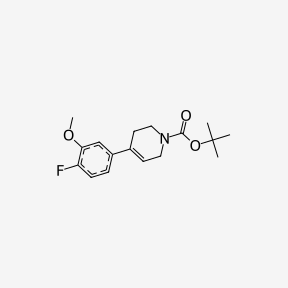 COc1cc(C2=CCN(C(=O)OC(C)(C)C)CC2)ccc1F